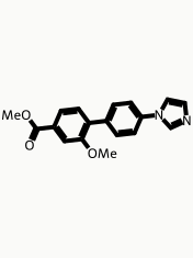 COC(=O)c1ccc(-c2ccc(-n3ccnc3)cc2)c(OC)c1